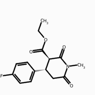 CCOC(=O)[C@H]1C(=O)N(C)C(=O)C[C@@H]1c1ccc(F)cc1